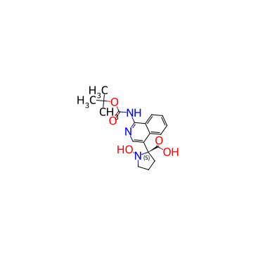 CC(C)(C)OC(=O)Nc1ncc([C@]2(C(=O)O)CCCN2O)c2ccccc12